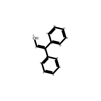 OC=C(c1ccccc1)c1ccccc1